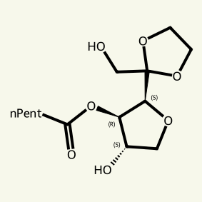 CCCCCC(=O)O[C@@H]1[C@@H](O)CO[C@@H]1C1(CO)OCCO1